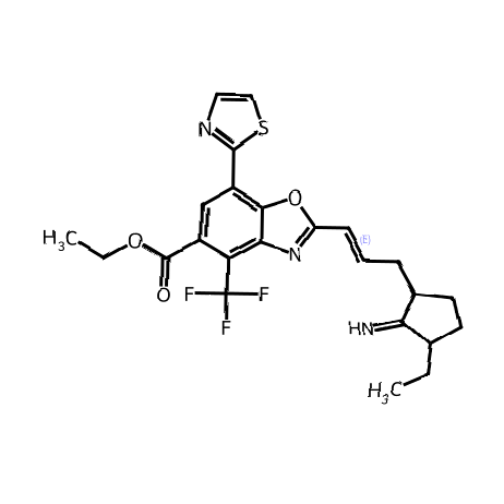 CCOC(=O)c1cc(-c2nccs2)c2oc(/C=C/CC3CCC(CC)C3=N)nc2c1C(F)(F)F